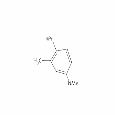 CCCc1ccc(NC)cc1C